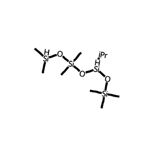 CC(C)[SiH](O[Si](C)(C)C)O[Si](C)(C)O[SiH](C)C